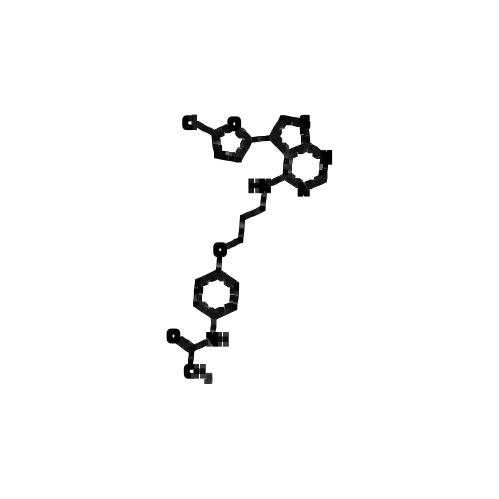 CC(=O)Nc1ccc(OCCCNc2ncnc3scc(-c4ccc(Cl)o4)c23)cc1